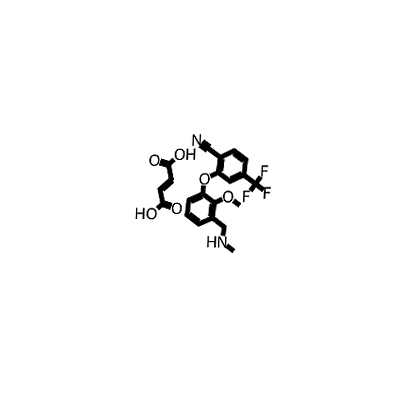 CNCc1cccc(Oc2cc(C(F)(F)F)ccc2C#N)c1OC.O=C(O)/C=C/C(=O)O